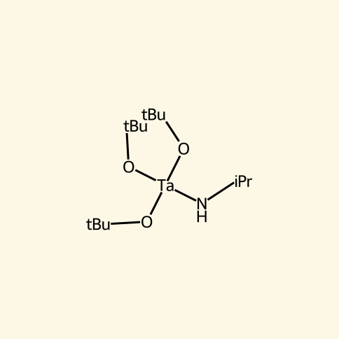 CC(C)[NH][Ta]([O]C(C)(C)C)([O]C(C)(C)C)[O]C(C)(C)C